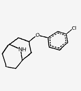 Clc1cccc(OC2CC3CCCC(C2)N3)c1